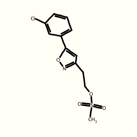 CS(=O)(=O)OCCc1cc(-c2cccc(Cl)c2)on1